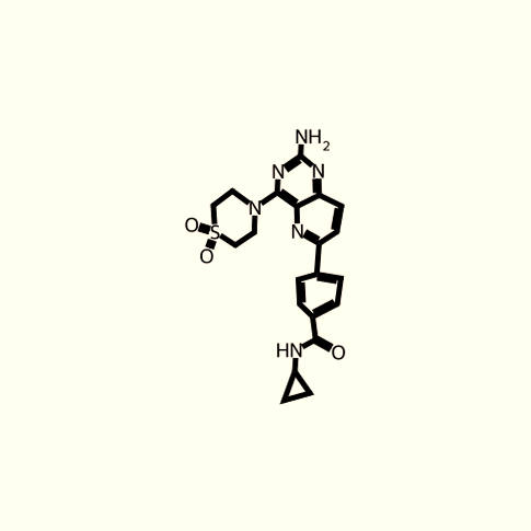 Nc1nc(N2CCS(=O)(=O)CC2)c2nc(-c3ccc(C(=O)NC4CC4)cc3)ccc2n1